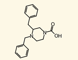 O=C(O)N1CCN(Cc2ccccc2)C(Cc2ccccc2)C1